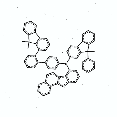 CC1(C)c2ccccc2-c2cccc(-c3ccccc3-c3ccc(N(c4ccc5c(c4)C(C)(c4ccccc4)c4ccccc4-5)c4cccc5sc6c7ccccc7ccc6c45)cc3)c21